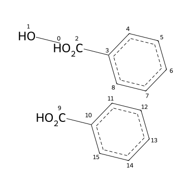 CO.O=C(O)c1ccccc1.O=C(O)c1ccccc1